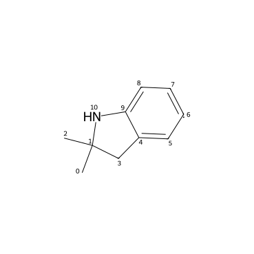 CC1(C)Cc2c[c]ccc2N1